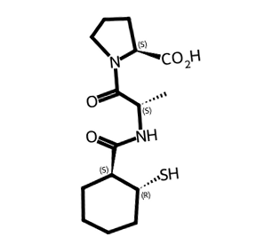 C[C@H](NC(=O)[C@@H]1CCCC[C@H]1S)C(=O)N1CCC[C@H]1C(=O)O